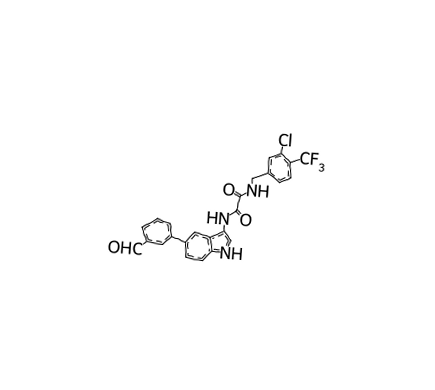 O=Cc1cccc(-c2ccc3[nH]cc(NC(=O)C(=O)NCc4ccc(C(F)(F)F)c(Cl)c4)c3c2)c1